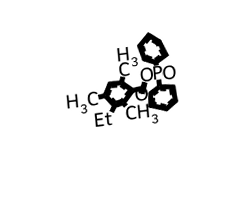 CCc1c(C)cc(C)c(C(=O)OP(=O)(c2ccccc2)c2ccccc2)c1C